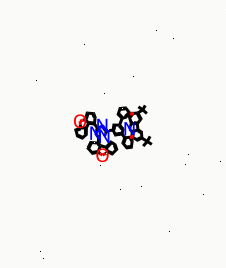 CC(C)(C)c1ccc2c(c1)c1cc(C(C)(C)C)ccc1n2-c1c(-c2ccccc2)cc(-c2nc(-c3cccc4oc5ccccc5c34)nc(-c3cccc4oc5ccccc5c34)n2)cc1-c1ccccc1